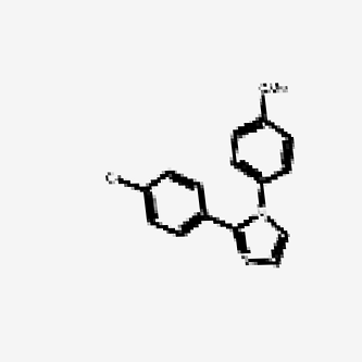 COc1ccc(-n2ccnc2-c2ccc(Cl)cc2)cc1